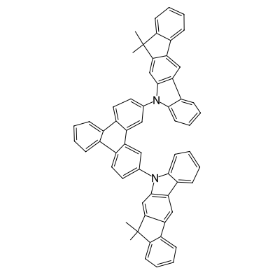 CC1(C)c2ccccc2-c2cc3c4ccccc4n(-c4ccc5c6ccccc6c6ccc(-n7c8ccccc8c8cc9c(cc87)C(C)(C)c7ccccc7-9)cc6c5c4)c3cc21